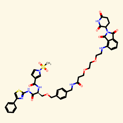 CS(=O)(=O)n1ccc(C(=O)N[C@@H](COCc2ccc(CNC(=O)CCOCCOCCNc3cccc4c3C(=O)N(C3CCC(=O)NC3=O)C4=O)cc2)C(=O)Nc2nc(-c3ccccc3)cs2)c1